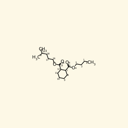 CCCCOC(=O)C1CCCCC1C(=O)OCCCC(C)C